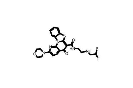 O=C(NCCNCC(F)F)c1c(=O)c2ccc(N3CCOCC3)nc2n2c1sc1ccccc12